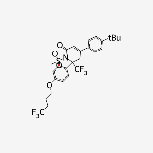 CC(C)(C)c1ccc(C2=CC(=O)N(S(C)(=O)=O)C(c3ccc(OCCCC(F)(F)F)cc3)(C(F)(F)F)C2)cc1